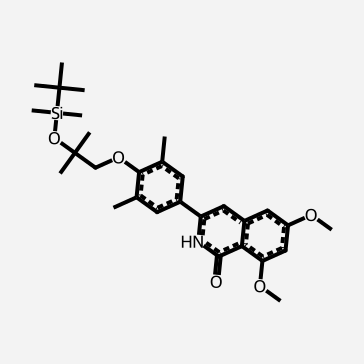 COc1cc(OC)c2c(=O)[nH]c(-c3cc(C)c(OCC(C)(C)O[Si](C)(C)C(C)(C)C)c(C)c3)cc2c1